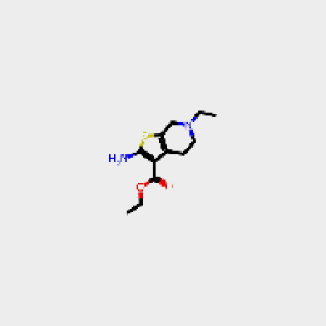 CCOC(=O)c1c(N)sc2c1CCN(CC)C2